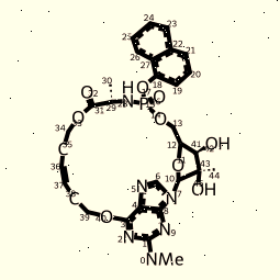 CNc1nc2c3ncn(c3n1)C1OC(COP(=O)(Oc3cccc4ccccc34)N[C@@H](C)C(=O)OCCC=CCCO2)[C@@H](O)[C@@]1(C)O